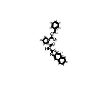 O=C(Nc1nc2cc3ccccc3cc2s1)[C@@H]1CCCN1C(=O)OCc1ccccc1